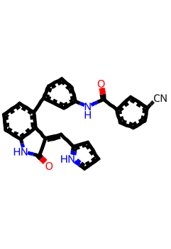 N#Cc1cccc(C(=O)Nc2cccc(-c3cccc4c3C(=Cc3ccc[nH]3)C(=O)N4)c2)c1